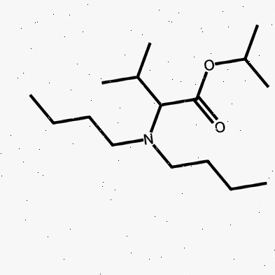 CCCCN(CCCC)C(C(=O)OC(C)C)C(C)C